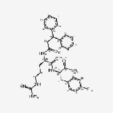 N=C(N)NCCC[C@@H](NC(=O)CC(c1ccccc1)c1ccccc1)C(=O)N[C@@H](Cc1ccc(F)cc1)C(N)=O